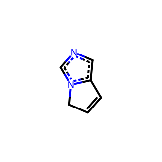 C1=Cc2cncn2C1